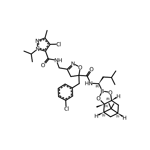 Cc1nn(C(C)C)c(C(=O)NCC2=NOC(Cc3cccc(Cl)c3)(C(=O)N[C@@H](CC(C)C)B3O[C@@H]4C[C@@H]5C[C@@H](C5(C)C)[C@]4(C)O3)C2)c1Cl